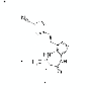 C[C@H]1CC(=O)Nc2cccc(/C=C/c3ccc(C#N)cc3)c2N1